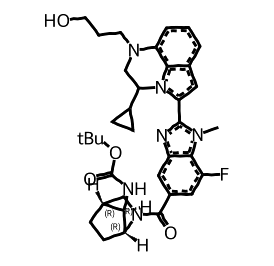 Cn1c(-c2cc3cccc4c3n2C(C2CC2)CN4CCCO)nc2cc(C(=O)N3C[C@H]4CC[C@@H]3[C@@H]4NC(=O)OC(C)(C)C)cc(F)c21